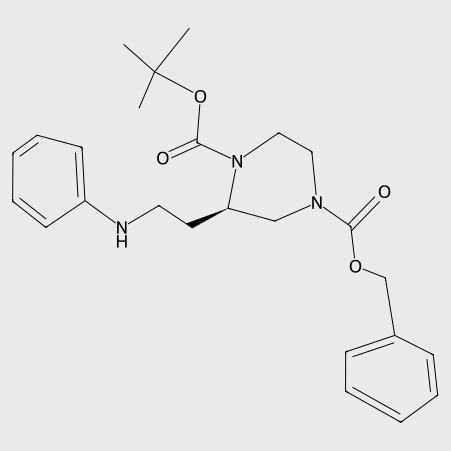 CC(C)(C)OC(=O)N1CCN(C(=O)OCc2ccccc2)C[C@H]1CCNc1ccccc1